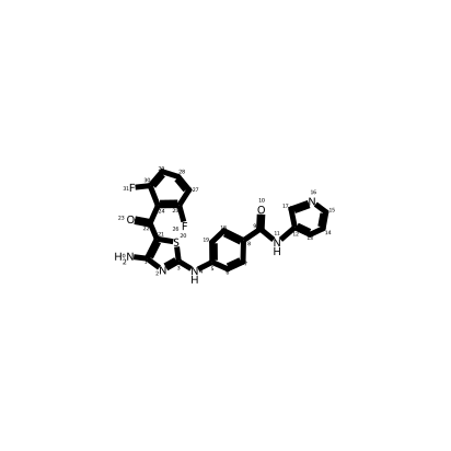 Nc1nc(Nc2ccc(C(=O)Nc3cccnc3)cc2)sc1C(=O)c1c(F)cccc1F